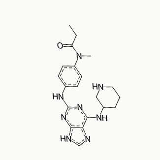 CCC(=O)N(C)c1ccc(Nc2nc(NC3CCCNC3)c3nc[nH]c3n2)cc1